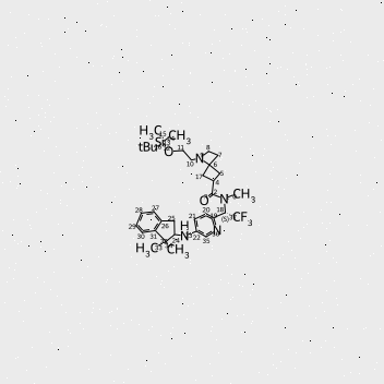 CN(C(=O)C1CC2(CCN2CCO[Si](C)(C)C(C)(C)C)C1)[C@@H](c1ccc(NC2Cc3ccccc3C2(C)C)cn1)C(F)(F)F